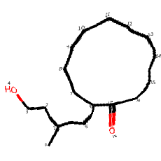 CC(CCO)CC1CCCCCCCCCCC1=O